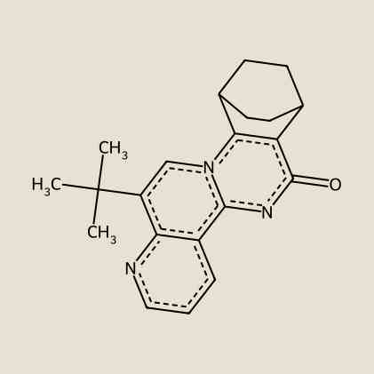 CC(C)(C)c1cn2c3c(c(=O)nc2c2cccnc12)C1CCC3CC1